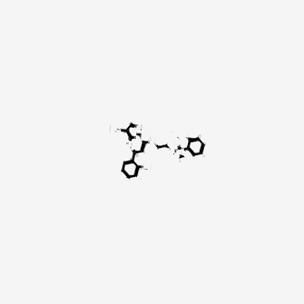 O=S(=O)(NCCNc1cc(-c2ccccc2Cl)nc2c(Br)cnn12)c1ccccc1C(F)(F)F